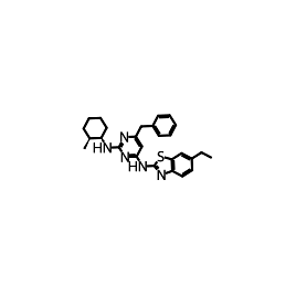 CCc1ccc2nc(Nc3cc(Cc4ccccc4)nc(N[C@@H]4CCCC[C@@H]4C)n3)sc2c1